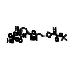 CC(C)(C)OC(=O)N[C@H]1C[C@H](CCc2nnc([C@@H]3CC[C@H]4CN3C(=O)N4OS(=O)(=O)O)o2)C1